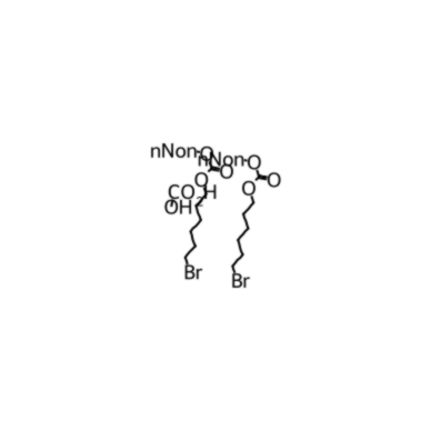 CCCCCCCCCOC(=O)OCCCCCCBr.CCCCCCCCCOC(=O)OCCCCCCBr.O=C(O)O